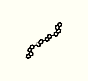 c1ccc2c(c1)ccc1c3cc(-c4ccc5cc(-c6ccc7cc(-c8ccc9ccc%10c%11ccccc%11ccc%10c9c8)ccc7c6)ccc5c4)ccc3ccc21